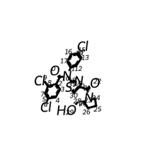 O=C(c1ccc(Cl)cc1Cl)N(c1ccc(Cl)cc1)c1nc(C(=O)N2CCC[C@@H]2CO)cs1